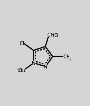 CC(C)(C)n1nc(C(F)(F)F)c(C=O)c1Cl